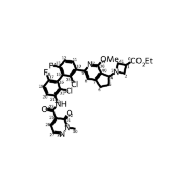 CCOC(=O)C1CN(C2CCc3cc(-c4ccc(F)c(-c5c(F)ccc(NC(=O)c6ccnn(C)c6=O)c5Cl)c4Cl)nc(OC)c32)C1